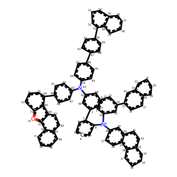 c1cc(-c2ccccc2N(c2cccc(-c3ccc4ccccc4c3)c2)c2ccc3c(ccc4ccccc43)c2)cc(N(c2ccc(-c3ccc(-c4cccc5ccccc45)cc3)cc2)c2ccc(-c3cccc4oc5c6ccccc6ccc5c34)cc2)c1